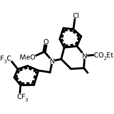 CCOC(=O)N1c2cc(Cl)ccc2C(N(Cc2cc(C(F)(F)F)cc(C(F)(F)F)c2)C(=O)OC)CC1C